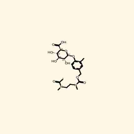 Cc1cc(COC(=O)N(C)CCN(C)C(=O)I)ccc1O[C@@H]1O[C@H](C(=O)O)[C@@H](O)[C@H](O)[C@H]1O